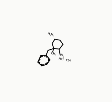 CC1(Cc2ccccc2)C[C@H](N)CC[C@H]1N.Cl.Cl